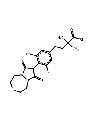 CCc1cc(CCC(C)(C)C(=O)Cl)cc(CC)c1C1C(=O)N2CCOCCN2C1=O